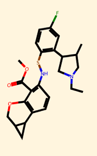 CCN1CC(C)C(c2cc(F)ccc2SNc2ccc3c(c2C(=O)OC)OCC2CC32)C1